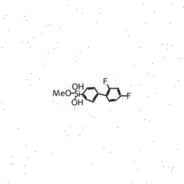 CO[Si](O)(O)c1ccc(-c2ccc(F)cc2F)cc1